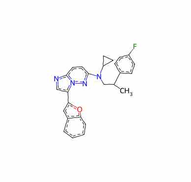 CC(CN(c1ccc2ncc(-c3cc4ccccc4o3)n2n1)C1CC1)c1ccc(F)cc1